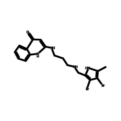 Cc1[nH]c(CNCCCNc2cc(=O)c3ccccc3[nH]2)c(Br)c1Br